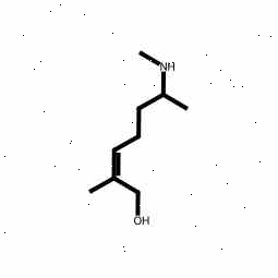 CNC(C)CCC=C(C)CO